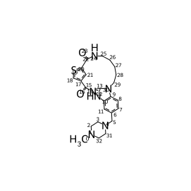 CN1CCN(Cc2ccc3c(c2)N/C2=N\C(=O)c4csc(c4)C(=O)NCCCCCN23)CC1